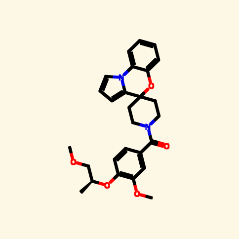 COC[C@H](C)Oc1ccc(C(=O)N2CCC3(CC2)Oc2ccccc2-n2cccc23)cc1OC